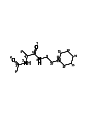 CC(=O)NC(C)C(=O)NCCN1CCCCC1